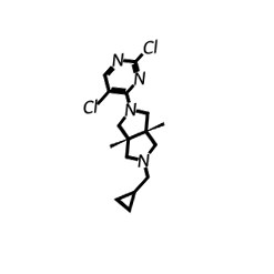 C[C@@]12CN(CC3CC3)C[C@]1(C)CN(c1nc(Cl)ncc1Cl)C2